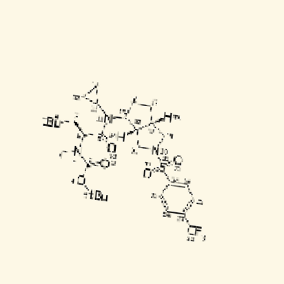 CN(C(=O)OC(C)(C)C)[C@@H](CC(C)(C)C)C(=O)N(C1CC1)[C@H]1CC[C@@H]2CN(S(=O)(=O)c3ccc(C(F)(F)F)cc3)C[C@@H]21